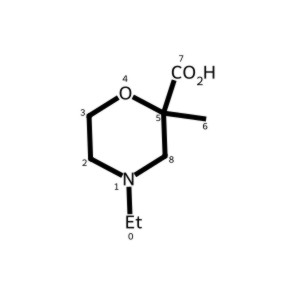 CCN1CCOC(C)(C(=O)O)C1